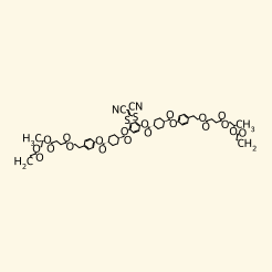 C=CC(=O)OCC(C)OC(=O)CCC(=O)OCCc1ccc(OC(=O)[C@H]2CC[C@H](C(=O)Oc3ccc(OC(=O)[C@H]4CC[C@H](C(=O)Oc5ccc(CCOC(=O)CCC(=O)OCC(C)OC(=O)C=C)cc5)CC4)c4c3SC(=C(C#N)C#N)S4)CC2)cc1